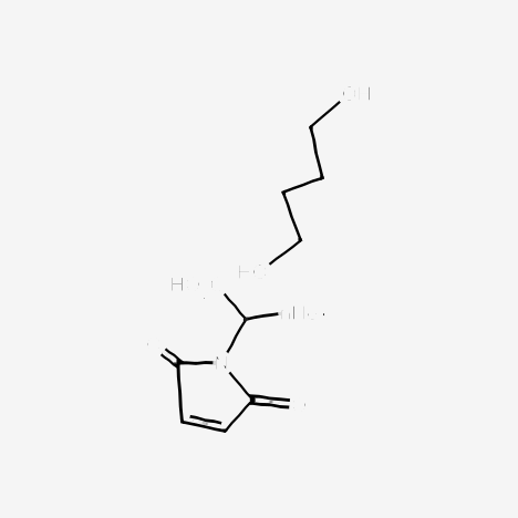 CCCCCCC(C(=O)O)N1C(=O)C=CC1=O.OCCCCO